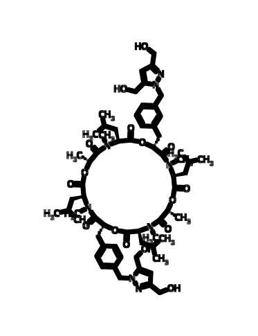 CC(C)C[C@H]1C(=O)O[C@H](Cc2cccc(Cn3nc(CO)cc3CO)c2)C(=O)N(C)[C@@H](CC(C)C)C(=O)O[C@H](C)C(=O)N(C)[C@@H](CC(C)C)C(=O)O[C@H](Cc2ccc(Cn3nc(CO)cc3CO)cc2)C(=O)N(C)[C@@H](CC(C)C)C(=O)O[C@H](C)C(=O)N1C